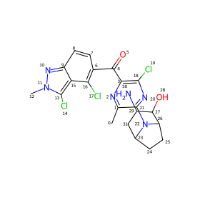 Cc1nc(C(=O)c2ccc3nn(C)c(Cl)c3c2Cl)c(Cl)nc1N1C2CCC1C(O)C(N)C2